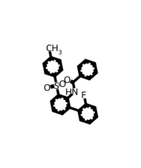 Cc1ccc(S(=O)(=O)c2cccc(-c3ccccc3F)c2NC(=O)c2ccccc2)cc1